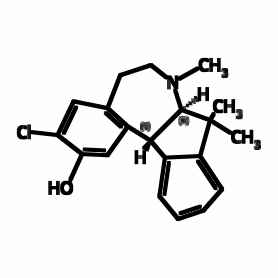 CN1CCc2cc(Cl)c(O)cc2[C@H]2c3ccccc3C(C)(C)[C@@H]21